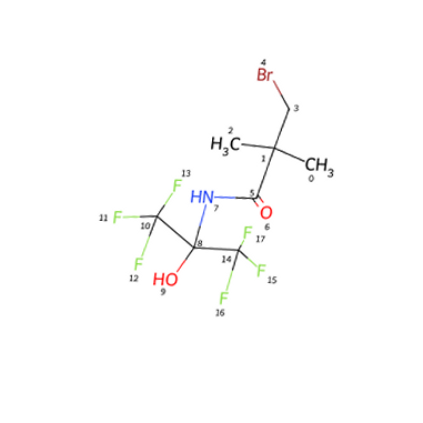 CC(C)(CBr)C(=O)NC(O)(C(F)(F)F)C(F)(F)F